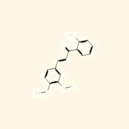 CCOc1ccc(/C=C/C(=O)c2ccccc2O)cc1OCC